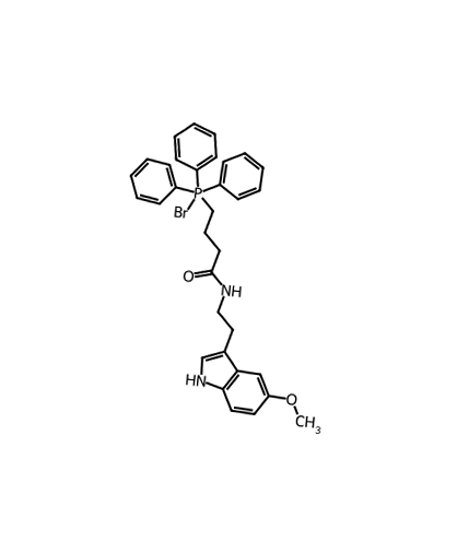 COc1ccc2[nH]cc(CCNC(=O)CCCP(Br)(c3ccccc3)(c3ccccc3)c3ccccc3)c2c1